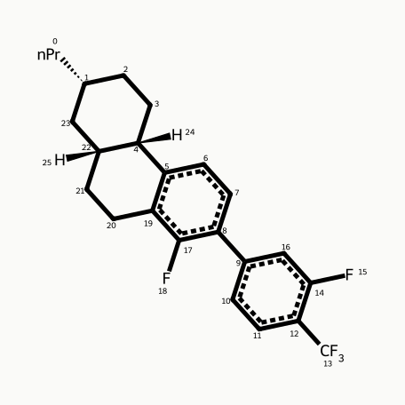 CCC[C@@H]1CC[C@@H]2c3ccc(-c4ccc(C(F)(F)F)c(F)c4)c(F)c3CC[C@@H]2C1